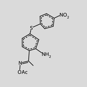 CC(=O)O/N=C(\C)c1ccc(Sc2ccc([N+](=O)[O-])cc2)cc1N